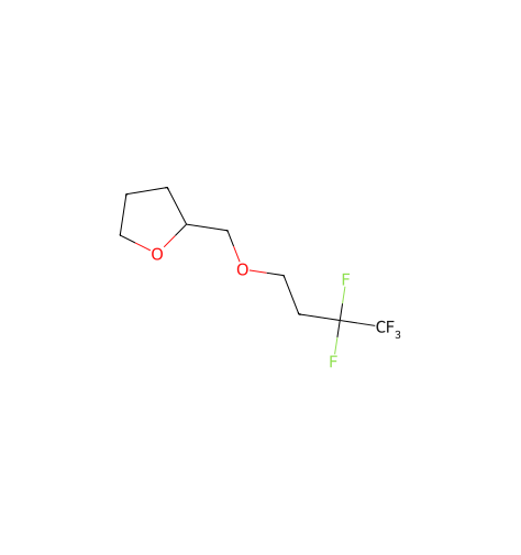 FC(F)(F)C(F)(F)CCOCC1CCCO1